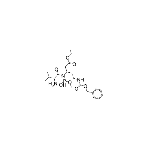 CCOC(=O)C[C@@H](CCNC(=O)OCc1ccccc1)N(C(=O)[C@@H](N)C(C)C)[PH](=O)OC